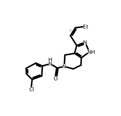 CC/C=C\c1n[nH]c2c1CN(C(=O)Nc1cccc(Cl)c1)CC2